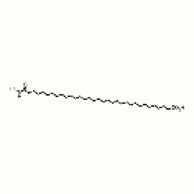 O=C(O)CCCCCCCCCCCCCCCCCCCCCCCCCCCCCCCC(=O)NO